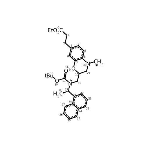 CCOC(=O)CCc1ccc2c(c1)OC(CN(C(=O)OC(C)(C)C)[C@H](C)c1cccc3ccccc13)CN2C